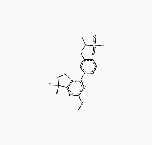 CSc1nc(-c2cccc(CN(C)S(C)(=O)=O)c2)c2c(n1)C(F)(F)CC2